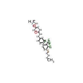 CCCCSc1ccc(-c2ccc(CCC3CCC(OCC)CO3)cc2)c(C(F)(F)F)c1F